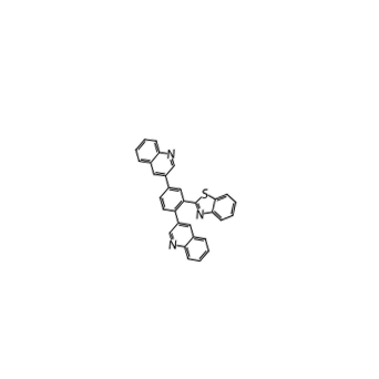 c1ccc2ncc(-c3ccc(-c4cnc5ccccc5c4)c(-c4nc5ccccc5s4)c3)cc2c1